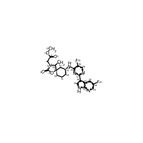 COC(=O)CN1C(=O)O[C@]2(CCC[C@H](Nc3nc(-c4c[nH]c5ncc(F)cc45)ncc3F)C2)C1C